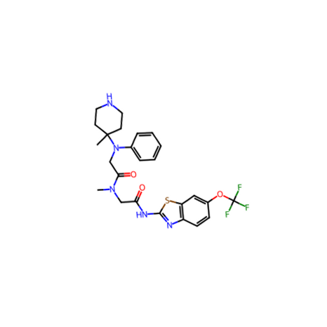 CN(CC(=O)Nc1nc2ccc(OC(F)(F)F)cc2s1)C(=O)CN(c1ccccc1)C1(C)CCNCC1